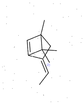 C/C=C1/CC2(C)C=C1C2(C)C